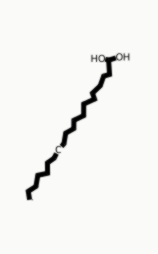 [CH2]CCCCCCCCCCCCCCCCCC[C](O)O